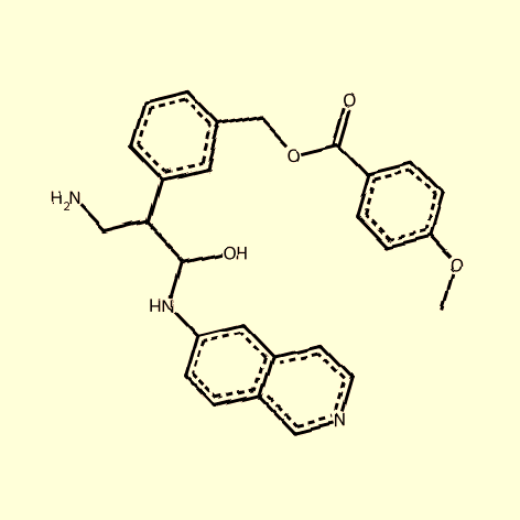 COc1ccc(C(=O)OCc2cccc(C(CN)C(O)Nc3ccc4cnccc4c3)c2)cc1